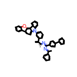 C=C(c1cccc(-n2c3ccccc3c3c4oc5ccccc5c4ccc32)c1)[C@@H](C)/N=C(\N=C(/C)c1ccccc1)c1ccc(-c2ccccc2)cc1